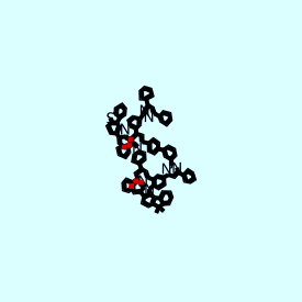 CC1(C)c2ccccc2-c2c1ccc1c3ccccc3n(-c3ccc(-c4cc(-c5ccccc5)nc(-c5cccc(-c6ccc(-c7cc(-c8cc(-c9nc(-c%10ccccc%10)cc(-c%10ccccc%10)n9)ccc8-n8c9ccccc9c9ccc%10sc%11ccccc%11c%10c98)cc(-c8ccccc8)n7)cc6)c5)n4)cc3-c3cc(-c4ccccc4)cc(-c4ccccc4)n3)c21